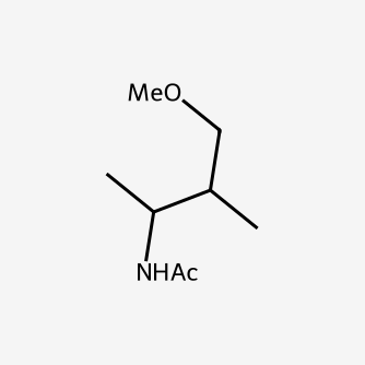 COCC(C)C(C)NC(C)=O